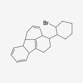 BrC1CCCCC1C1CCC2=C3C1C=CCC3C1C=CC=CC21